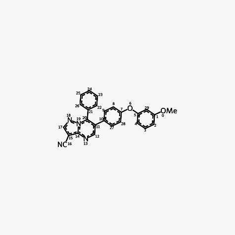 COc1cccc(Oc2ccc(-c3cnc4c(C#N)cnn4c3-c3ccccc3)cc2)c1